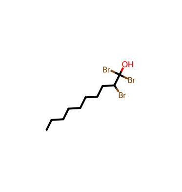 CCCCCCCCC(Br)C(O)(Br)Br